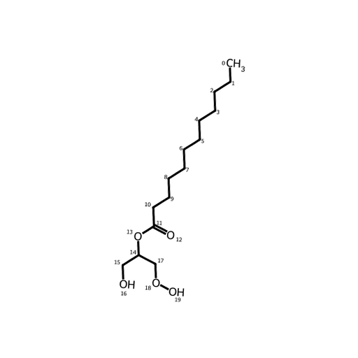 CCCCCCCCCCCC(=O)OC(CO)COO